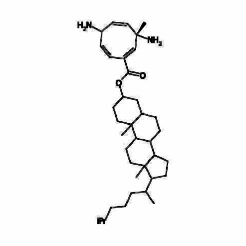 CC(C)CCCC(C)C1CCC2C3CCC4CC(OC(=O)C5=C/[C@@](C)(N)/C=C\C(N)/C=C\5)CCC4(C)C3CCC12C